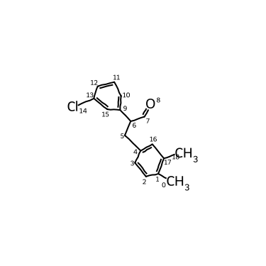 Cc1ccc(CC(C=O)c2cccc(Cl)c2)cc1C